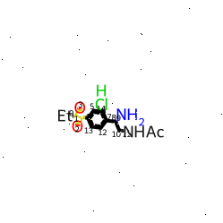 CCS(=O)(=O)c1ccc(C(N)CNC(C)=O)cc1.Cl